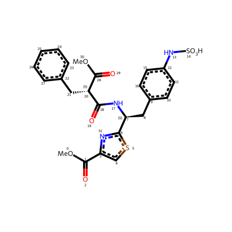 COC(=O)c1csc([C@H](Cc2ccc(NS(=O)(=O)O)cc2)NC(=O)[C@H](Cc2ccccc2)C(=O)OC)n1